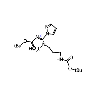 CC(C)(C)OC(=O)/N=C(\N(CCCNC(=O)OC(C)(C)C)C(=O)O)n1cccn1